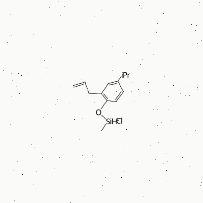 C=CCc1cc(C(C)C)ccc1O[SiH](C)Cl